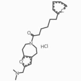 CN(C)Cc1cc2c(o1)CCN(C(=O)CCCCCc1ccccc1)CC2.Cl